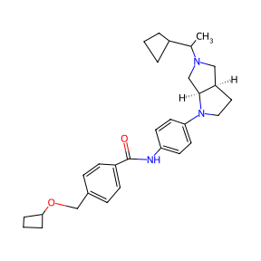 CC(C1CCC1)N1C[C@H]2CCN(c3ccc(NC(=O)c4ccc(COC5CCC5)cc4)cc3)[C@H]2C1